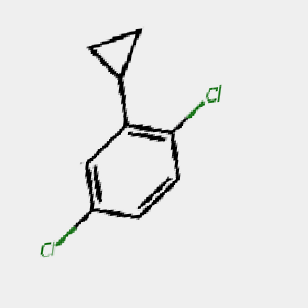 Clc1[c]c(C2CC2)c(Cl)cc1